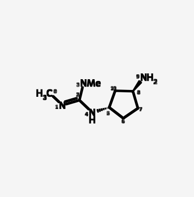 C/N=C(\NC)N[C@H]1CC[C@H](N)C1